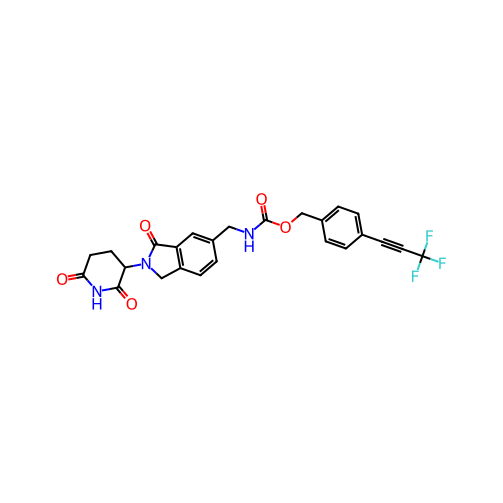 O=C1CCC(N2Cc3ccc(CNC(=O)OCc4ccc(C#CC(F)(F)F)cc4)cc3C2=O)C(=O)N1